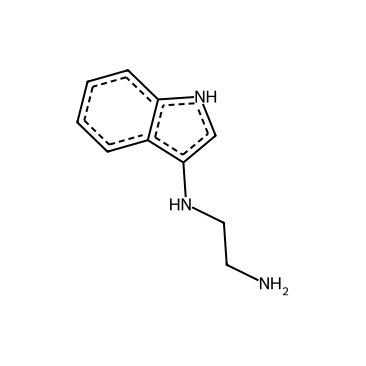 NCCNc1c[nH]c2ccccc12